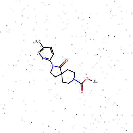 CC(C)(C)OC(=O)N1CCC2(CC1)CCN(c1ccc(C(F)(F)F)cn1)C2=O